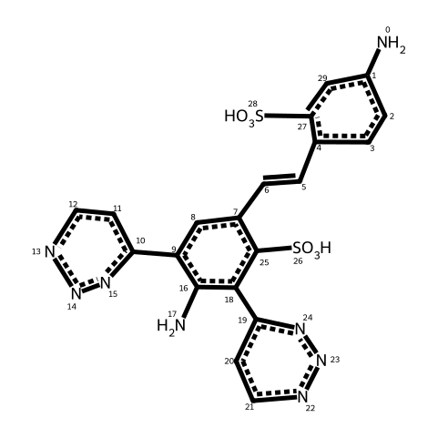 Nc1ccc(C=Cc2cc(-c3ccnnn3)c(N)c(-c3ccnnn3)c2S(=O)(=O)O)c(S(=O)(=O)O)c1